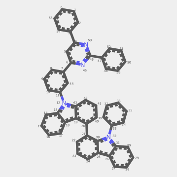 c1ccc(-c2cc(-c3cccc(-n4c5ccccc5c5c(-c6cccc7c8ccccc8n(-c8ccccc8)c67)cccc54)c3)nc(-c3ccccc3)n2)cc1